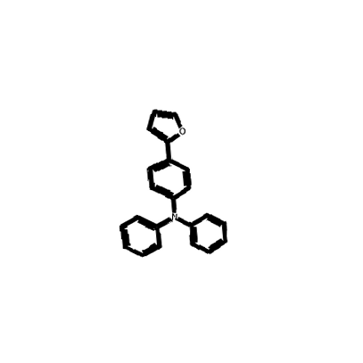 c1ccc(N(c2ccccc2)c2ccc(-c3ccco3)cc2)cc1